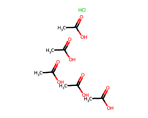 CC(=O)O.CC(=O)O.CC(=O)O.CC(=O)O.CC(=O)O.Cl